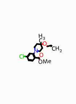 C=CCOC1(C)CCN(c2cc(Cl)ccc2C(=O)OC)CC1